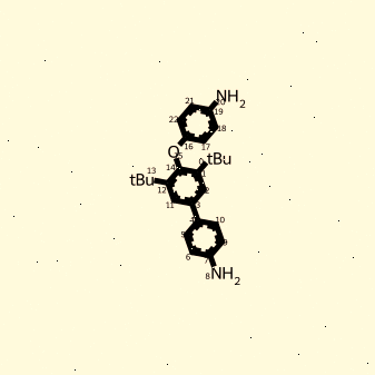 CC(C)(C)c1cc(-c2ccc(N)cc2)cc(C(C)(C)C)c1Oc1ccc(N)cc1